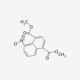 COC(=O)c1ccc(C(=O)OC)c2c([N+](=O)[O-])cccc12